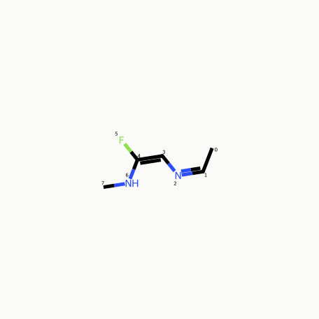 C/C=N\C=C(\F)NC